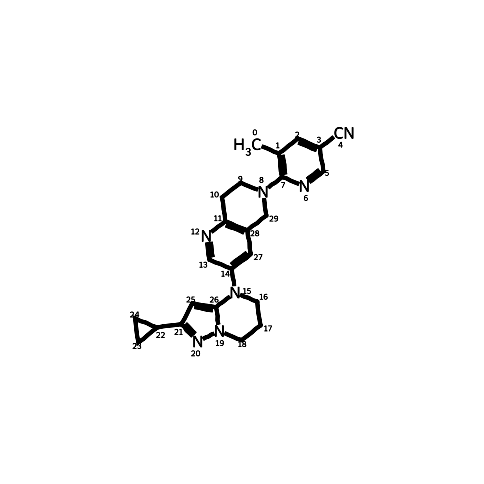 Cc1cc(C#N)cnc1N1CCc2ncc(N3CCCn4nc(C5CC5)cc43)cc2C1